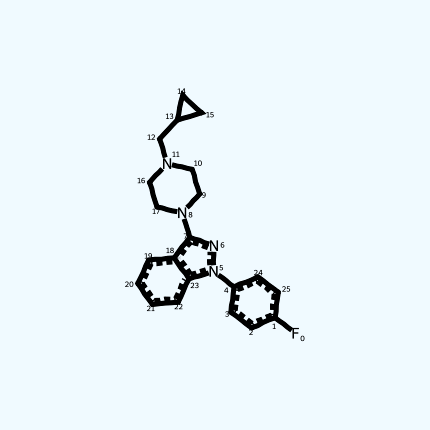 Fc1ccc(-n2nc(N3CCN(CC4CC4)CC3)c3ccccc32)cc1